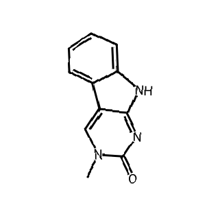 Cn1cc2c(nc1=O)[nH]c1ccccc12